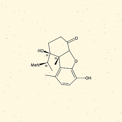 CN[C@H](C)[C@]1(O)CCC(=O)C2Oc3c(O)ccc(C)c3[C@@]21C